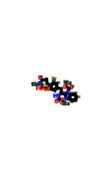 CC(C)(C)OC(=O)NC(Cc1ccc(C2CC(=O)N(C(C)(C)C)S2(O)O)c(Br)c1)c1nc2ccccc2n1C(=O)OC(C)(C)C